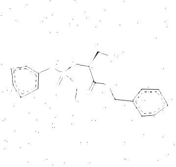 CC[C@H](NP(=O)(OC)Oc1ccccc1)C(=O)OCc1ccccc1